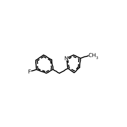 Cc1ccc(Cc2cccc(F)c2)nc1